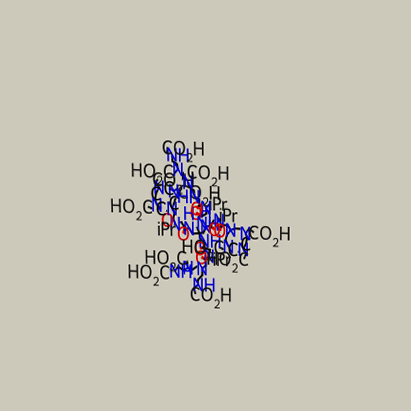 CC(C)N(CC(=O)NCC(CNC(=O)CN(C(=O)CN(CCNCC(=O)O)CCN(CCNCC(=O)O)CC(=O)O)C(C)C)(CNC(=O)CN(C(=O)CN1CCN(CC(=O)O)CCN(CC(=O)O)CCN(CC(=O)O)CC1)C(C)C)CNC(=O)CN(C(=O)CN1CCN(CC(=O)O)CCN(CC(=O)O)CCN(CC(=O)O)CC1)C(C)C)C(=O)CNCCN(CCN(CCNCC(=O)O)CC(=O)O)CC(=O)O